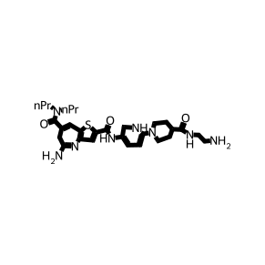 CCCN(CCC)C(=O)C1=Cc2sc(C(=O)NC3=CC=C(N4CCC(C(=O)NCCN)CC4)NC3)cc2N=C(N)C1